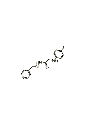 O=C(CNc1ccc(I)cc1)N/N=C/c1ccncc1